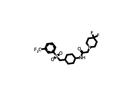 O=C(CN1CCC(F)(F)CC1)NC1CCC(CS(=O)(=O)c2cccc(C(F)(F)F)c2)CC1